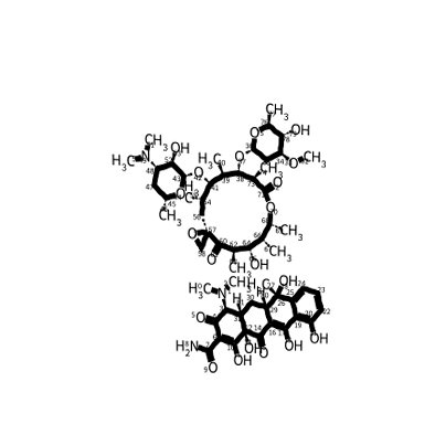 CN(C)[C@@H]1C(=O)C(C(N)=O)=C(O)[C@@]2(O)C(=O)C3=C(O)c4c(O)cccc4[C@@](C)(O)[C@H]3C[C@@H]12.CO[C@H]1C[C@H](O[C@H]2[C@H](C)[C@@H](O[C@@H]3O[C@H](C)C[C@H](N(C)C)[C@H]3O)[C@@H](C)C[C@@]3(CO3)C(=O)[C@H](C)[C@@H](O)[C@@H](C)[C@@H](C)OC(=O)[C@@H]2C)O[C@@H](C)[C@@H]1O